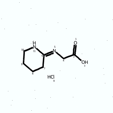 Cl.O=C(O)CN=C1CCCCN1